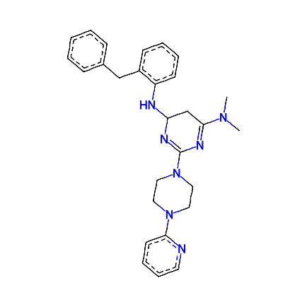 CN(C)C1=NC(N2CCN(c3ccccn3)CC2)=NC(Nc2ccccc2Cc2ccccc2)C1